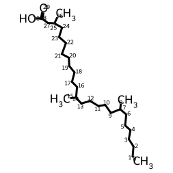 CCCCCCCC(C)CCCCCC(C)CCCCCCCCCC(C)CC(=O)O